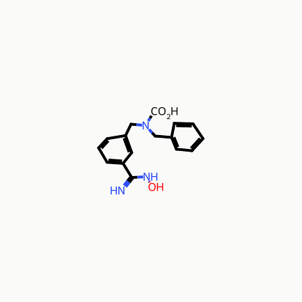 N=C(NO)c1cccc(CN(Cc2ccccc2)C(=O)O)c1